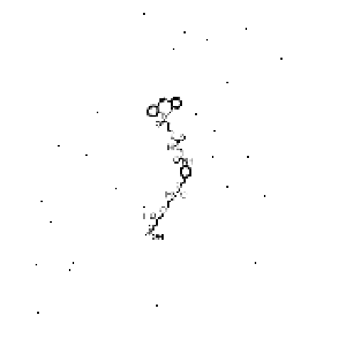 CP(O)OCC(O)COCCCNC(=O)OCc1ccc(NC(=O)CNC(=O)CCCCC(=O)N2Cc3ccccc3C#Cc3ccccc32)cc1